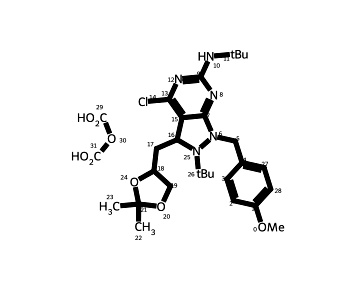 COc1ccc(CN2c3nc(NC(C)(C)C)nc(Cl)c3C(CC3COC(C)(C)O3)N2C(C)(C)C)cc1.O=C(O)OC(=O)O